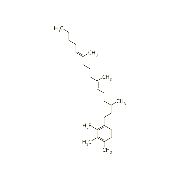 CCCC/C=C(\C)CCC/C(C)=C/CCC(C)CCc1ccc(C)c(C)c1P